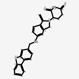 C=C1c2ccc(NCc3ccc4c(c3)oc3ccccc34)cc2CN1C1CCC(=O)NC1=O